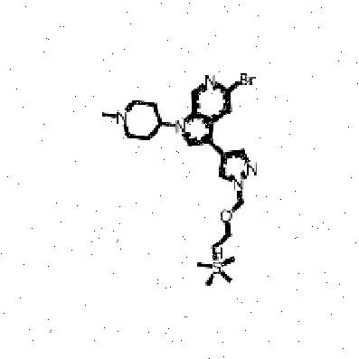 CN1CCC(n2cc(-c3cnn(COCC[SH](C)(C)(C)C)c3)c3cc(Br)ncc32)CC1